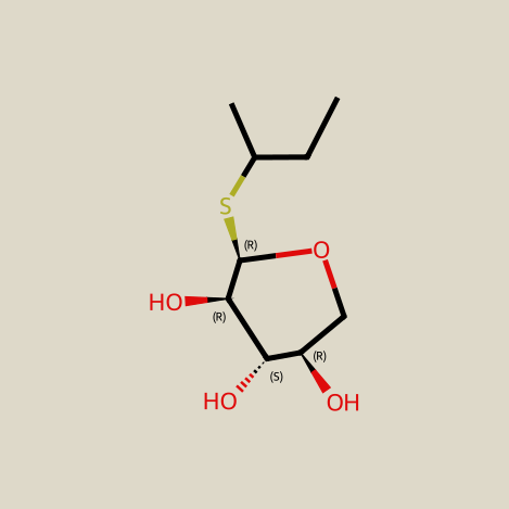 CCC(C)S[C@H]1OC[C@@H](O)[C@H](O)[C@H]1O